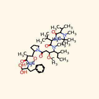 CCC(C)C(C(CC(=O)N1CCCC1C(OC)C(C)C(=O)NC(Cc1ccccc1)C(O)O)OC)N(C)C(=O)C(NC(=O)C(C(C)C)N(C)C(C)(C)C)C(C)C